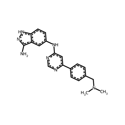 CN(C)Cc1ccc(-c2cc(Nc3ccc4[nH]nc(N)c4c3)ncn2)cc1